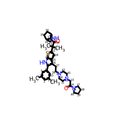 Cc1cc(C)cc(-c2[nH]c3sc(C(C)(C)C(=O)C4C5CCC4NC5)cc3c2CCN2CCN(CC(=O)N3CCCC3)CC2)c1